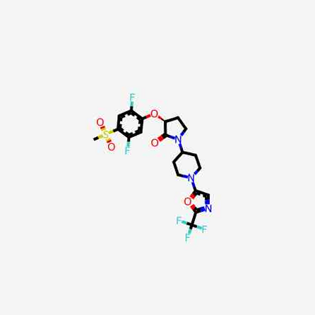 CS(=O)(=O)c1cc(F)c(O[C@H]2CCN(C3CCN(c4cnc(C(F)(F)F)o4)CC3)C2=O)cc1F